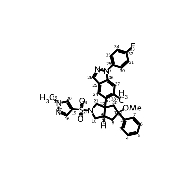 CO[C@@]1(c2ccccc2)C[C@@H]2CN(S(=O)(=O)c3cnn(C)c3)CC2(c2cc3cnn(-c4ccc(F)cc4)c3cc2C)C1